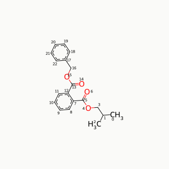 CC(C)COC(=O)c1ccccc1C(=O)OCc1ccccc1